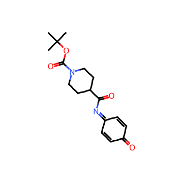 CC(C)(C)OC(=O)N1CCC(C(=O)N=C2C=CC(=O)C=C2)CC1